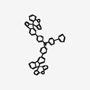 c1ccc(-c2ccc(N(c3ccc(-c4ccc5c(c4)-c4ccccc4C54c5ccccc5Oc5ccccc54)cc3)c3ccc(-c4ccc5c(c4)C4(c6ccccc6Oc6ccccc64)c4ccccc4-5)cc3)cc2)cc1